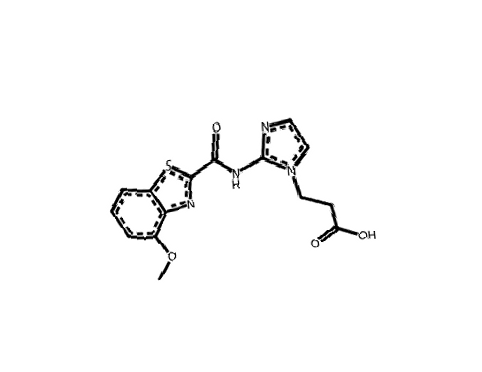 COc1cccc2sc(C(=O)Nc3nccn3CCC(=O)O)nc12